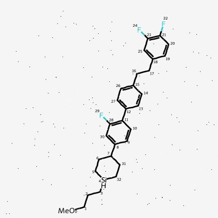 COCCC[SiH]1CCC(c2ccc(-c3ccc(CCc4ccc(F)c(F)c4)cc3)c(F)c2)CC1